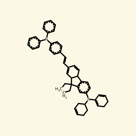 CCC1(CC)c2cc(N(C3=CCCC=C3)C3CC=CCC3)ccc2C2C=CC(/C=C/c3ccc(N(c4ccccc4)c4ccccc4)cc3)=CC21